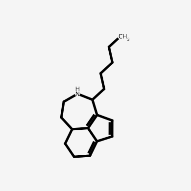 CCCCCC1NCCC2CCC=C3C=CC1=C32